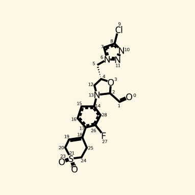 O=CC1O[C@@H](Cn2cc(Cl)nn2)CN1c1ccc(C2=CCS(=O)(=O)CC2)c(F)c1